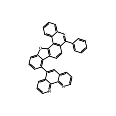 c1ccc(-c2nc3ccccc3c3c2ccc2c3oc3cccc(-c4cc5cccnc5c5ncccc45)c32)cc1